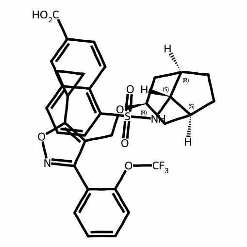 O=C(O)c1ccc2c(S(=O)(=O)N[C@@H]3[C@@H]4CC[C@H]3C[C@@H](OCc3c(-c5ccccc5OC(F)(F)F)noc3C3CC3)C4)cccc2c1